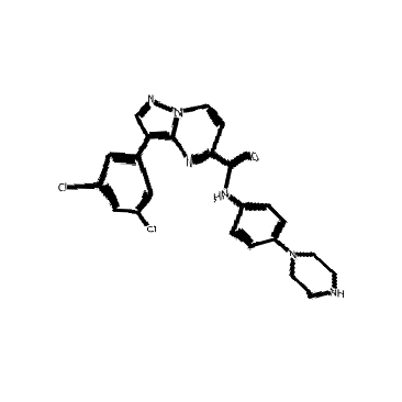 O=C(Nc1ccc(N2CCNCC2)cc1)c1ccn2ncc(-c3cc(Cl)cc(Cl)c3)c2n1